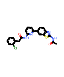 CC(=O)Nc1nc2ccc(-c3cccc(NC(=O)Cc4ccccc4Cl)n3)cc2s1